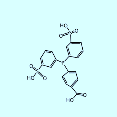 O=C(O)c1ccc(P(c2cccc(S(=O)(=O)O)c2)c2cccc(S(=O)(=O)O)c2)cc1